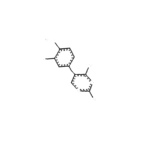 COc1ccc(-c2cnc(N)nc2N)cc1Br